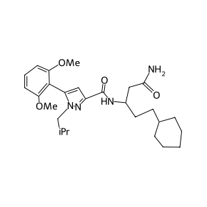 COc1cccc(OC)c1-c1cc(C(=O)NC(CCC2CCCCC2)CC(N)=O)nn1CC(C)C